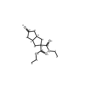 CCOC(=O)C1(C(=O)OCC)CC2CC(=O)CC2C1